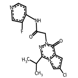 CC(C)c1nn(CC(=O)Nc2ccncc2F)c(=O)c2cc(Cl)cn12